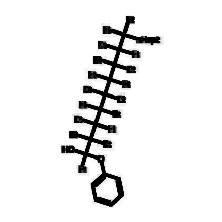 CCCCCCCC(CC)(CC)C(CC)(CC)C(CC)(CC)C(CC)(CC)C(CC)(CC)C(CC)(CC)C(CC)(CC)C(CC)(CC)C(O)(CC)Oc1ccccc1